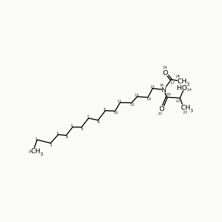 CCCCCCCCCCCCCCCCN(C(C)=O)C(=O)C(C)O